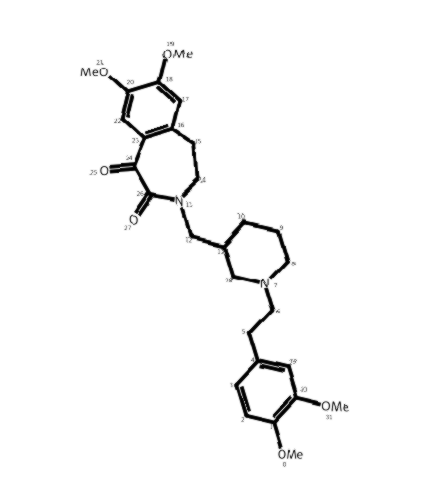 COc1ccc(CCN2CCCC(CN3CCc4cc(OC)c(OC)cc4C(=O)C3=O)C2)cc1OC